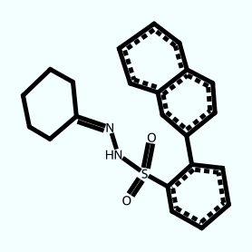 O=S(=O)(NN=C1CCCCC1)c1ccccc1-c1ccc2ccccc2c1